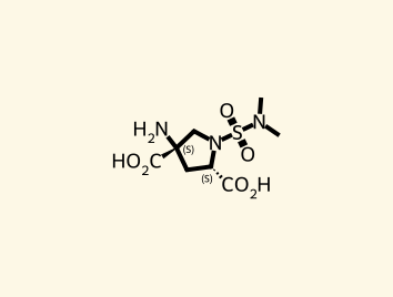 CN(C)S(=O)(=O)N1C[C@](N)(C(=O)O)C[C@H]1C(=O)O